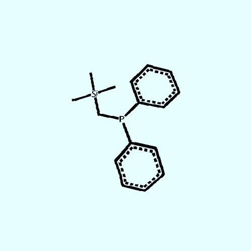 C[Si](C)(C)CP(c1ccccc1)c1ccccc1